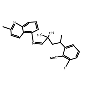 COc1c(F)cccc1C(C)CC(O)(/C=N\c1cccc2nc(C)ccc12)C(F)(F)F